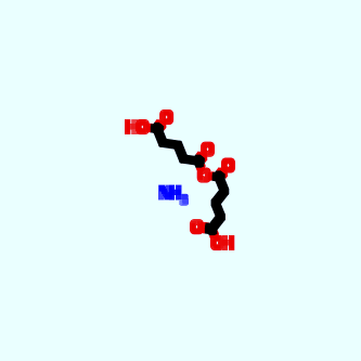 N.O=C(O)CCCC(=O)OC(=O)CCCC(=O)O